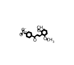 COc1cccc(OC)c1C=CC(=O)c1ccc([N+](=O)[O-])cc1